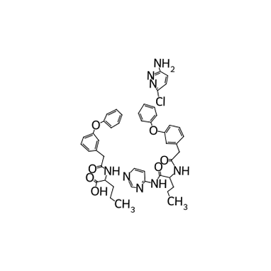 CCCC(NC(=O)Cc1cccc(Oc2ccccc2)c1)C(=O)Nc1ccncn1.CCCC(NC(=O)Cc1cccc(Oc2ccccc2)c1)C(=O)O.Nc1ccc(Cl)nn1